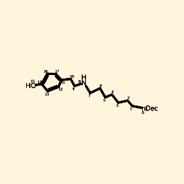 CCCCCCCCCCCCCCCCCNCCc1ccc(O)cc1